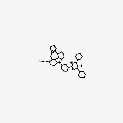 CCCCCC1CCC2C3C1CC1C4CC=C(C4)C1C1CCCC(C13)N2C1CCCC(C2NC(C3CCCCC3)NC(C3CCCCC3)N2)C1